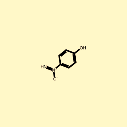 N=[N+]([O-])c1ccc(O)cc1